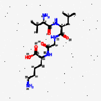 CC(C)C[C@H](NC(=O)[C@@H](N)C(C)C)C(=O)NCC(=O)N[C@@H](CCCCN)C(=O)O